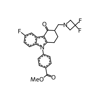 COC(=O)c1ccc(-n2c3c(c4cc(F)ccc42)C(=O)C(CN2CC(F)(F)C2)CC3)cc1